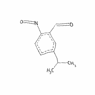 CC(C)c1ccc(N=O)c(C=O)c1